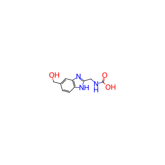 O=C(O)NCc1nc2cc(CO)ccc2[nH]1